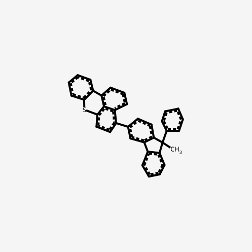 CC1(c2ccccc2)c2ccccc2-c2cc(-c3ccc4c5c(cccc35)-c3ccccc3S4)ccc21